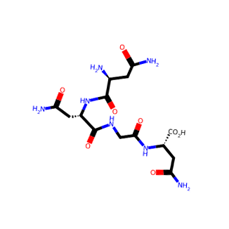 NC(=O)C[C@H](NC(=O)CNC(=O)[C@H](CC(N)=O)NC(=O)[C@@H](N)CC(N)=O)C(=O)O